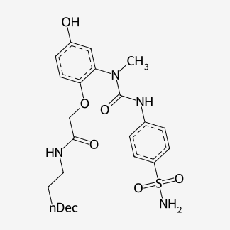 CCCCCCCCCCCCNC(=O)COc1ccc(O)cc1N(C)C(=O)Nc1ccc(S(N)(=O)=O)cc1